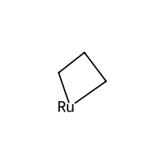 C1[CH2][Ru][CH2]1